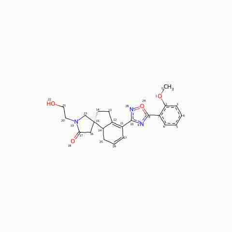 COc1ccccc1-c1nc(C2=C3CC[C@@]4(CC(=O)N(CCO)C4)C3CC=C2)no1